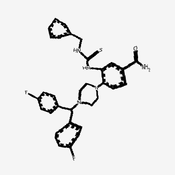 NC(=O)c1ccc(N2CCN(C(c3ccc(F)cc3)c3ccc(F)cc3)CC2)c(NC(=S)NCc2ccccc2)c1